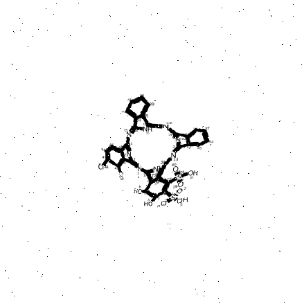 O=S(=O)(O)c1c(O)c(O)c2c3nc4nc(nc5[nH]c(nc6nc(nc([nH]3)c2c1S(=O)(=O)O)-c1ccccc1-6)c1ccccc51)-c1ccc(Cl)c(Cl)c1-4